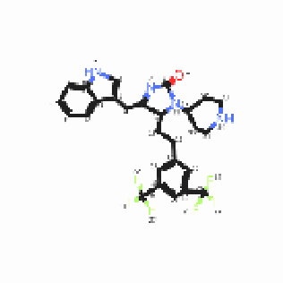 O=C1N=C(Cc2c[nH]c3ccccc23)C(CCc2cc(C(F)(F)F)cc(C(F)(F)F)c2)N1C1CCNCC1